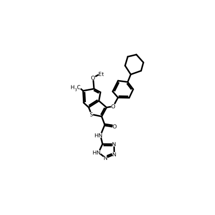 CCOc1cc2c(Oc3ccc(C4CCCCC4)cc3)c(C(=O)Nc3nnn[nH]3)sc2cc1C